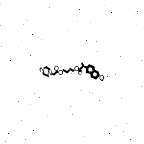 COc1ccc2cc(C(C)C(=O)OCCCCOC(=O)CN3CCN(C)CC3)ccc2c1